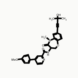 COc1ccc(-c2ccnc(C(=O)NC3COc4ccc(C#CC(C)(C)O)cc4N(C)C3=O)c2)cc1